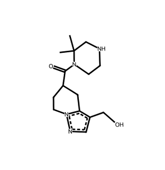 CC1(C)CNCCN1C(=O)C1CCn2ncc(CO)c2C1